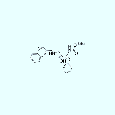 CC(C)(C)OC(=O)N[C@@H](Cc1ccccc1)[C@H](O)CNCc1cnc2ccccc2c1